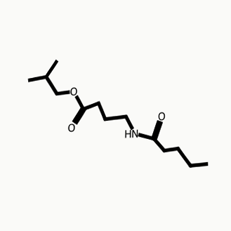 CCCCC(=O)NCCCC(=O)OCC(C)C